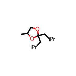 CC(C)CC1(CC(C)C)OCC(C)O1